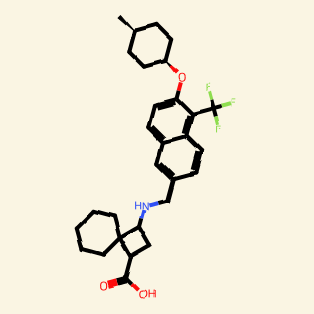 C[C@H]1CC[C@@H](Oc2ccc3cc(CNC4CC(C(=O)O)C45CCCCC5)ccc3c2C(F)(F)F)CC1